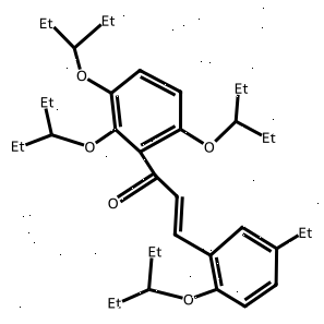 CCc1ccc(OC(CC)CC)c(C=CC(=O)c2c(OC(CC)CC)ccc(OC(CC)CC)c2OC(CC)CC)c1